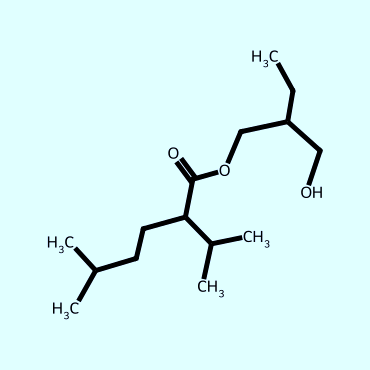 CCC(CO)COC(=O)C(CCC(C)C)C(C)C